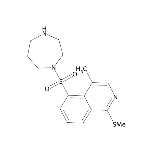 CSc1ncc(C)c2c(S(=O)(=O)N3CCCNCC3)cccc12